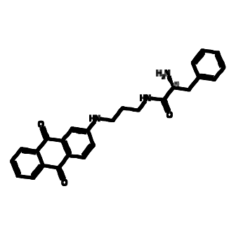 N[C@@H](Cc1ccccc1)C(=O)NCCCNc1ccc2c(c1)C(=O)c1ccccc1C2=O